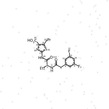 CC[C@H](NC(=O)Cc1cc(F)cc(F)c1)C(=O)Nc1nc(C(=O)O)c(C(C)C)s1